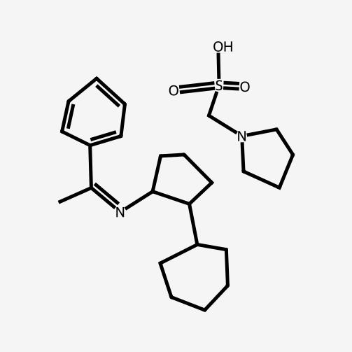 CC(=NC1CCCC1C1CCCCC1)c1ccccc1.O=S(=O)(O)CN1CCCC1